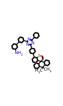 CC1(C)c2ccccc2C2(c3ccccc3Sc3c(-c4ccc(-c5nc(-c6ccccc6)nc(-c6cccc(-c7cccc(N)c7)c6)n5)cc4)cccc32)c2ccccc21